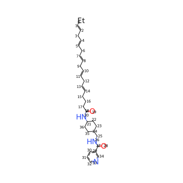 CCC=CCC=CCC=CCC=CCC=CCCCC(=O)NC1CCC(CNC(=O)c2cccnc2)CC1